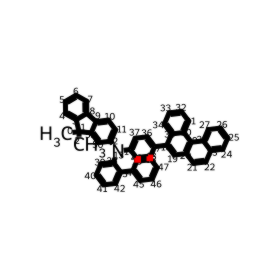 CC1(C)c2ccccc2-c2ccc(N(c3ccc(-c4cc5ccc6ccccc6c5c5ccccc45)cc3)c3ccccc3-c3ccccc3)cc21